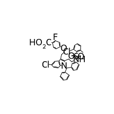 Cc1cccc(Cl)c1S(=O)(=O)NCCc1c(CCOc2ccc(C(=O)O)c(F)c2)c2cc(Cl)ccc2n1C(c1ccccc1)c1ccccc1